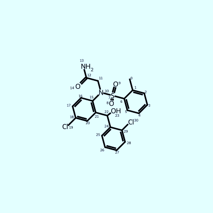 Cc1ccccc1S(=O)(=O)N(CC(N)=O)c1ccc(Cl)cc1C(O)c1ccccc1Cl